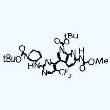 COC(=O)Nc1ccc2c(-c3nc(NC4CCCN(C(=O)OC(C)(C)C)C4)ncc3C(F)(F)F)cn(C(=O)OC(C)(C)C)c2n1